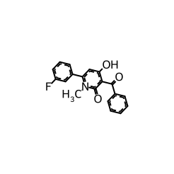 Cn1c(-c2cccc(F)c2)cc(O)c(C(=O)c2ccccc2)c1=O